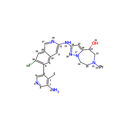 Cc1c(N)cncc1-c1cc2cc(Nc3cc4n(n3)CCN(C(C)C)CC4O)ncc2cc1F